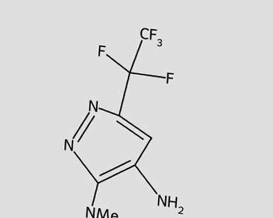 CNc1nnc(C(F)(F)C(F)(F)F)cc1N